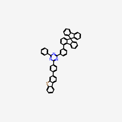 c1ccc(-c2nc(-c3ccc(-c4ccc5c(c4)sc4ccccc45)cc3)nc(-c3cccc(-c4cccc5c4-c4ccccc4C54c5ccccc5-c5ccccc54)c3)n2)cc1